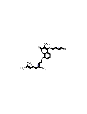 CC/C=C/CCOc1c(OC)c(=O)oc2c(OC/C=C(\C)CCC=C(C)C)cccc12